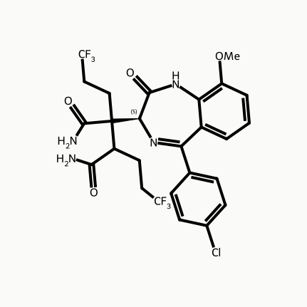 COc1cccc2c1NC(=O)[C@H](C(CCC(F)(F)F)(C(N)=O)C(CCC(F)(F)F)C(N)=O)N=C2c1ccc(Cl)cc1